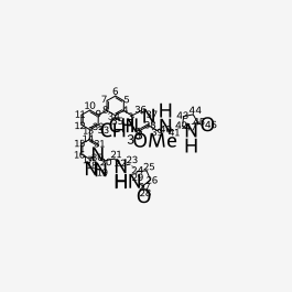 COc1nc(-c2cccc(-c3cccc(-c4ccc5nnc(CNC[C@@H]6CCC(=O)N6)n5c4)c3C)c2C)cnc1CNC[C@@H]1CCC(=O)N1